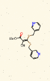 COC(=O)C(C#N)=C(SCc1cccnc1)SCc1cccnc1